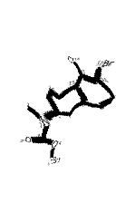 CN(C(=O)OC(C)(C)C)C1Cc2ccc(Br)c(Cl)c2C1